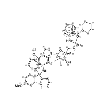 CCOc1nc(NC(c2ccccc2)(c2ccccc2)c2ccc(OC)cc2)nc2c1ncn2[C@@H]1O[C@](F)(COP(=O)(N[C@@H](C)C(=O)OC2CCCCC2)Oc2ccccc2)[C@@H](O)[C@@]1(C)F